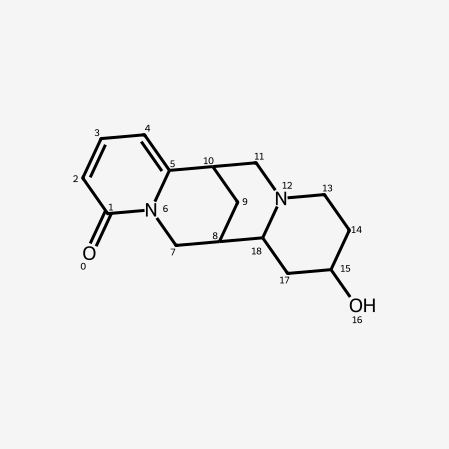 O=c1cccc2n1CC1CC2CN2CCC(O)CC12